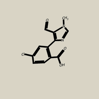 Cn1cnc(-c2cc(Cl)ccc2C(=O)O)c1C=O